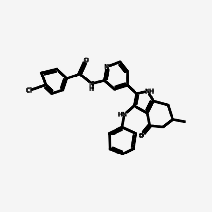 CC1CC(=O)c2c([nH]c(-c3ccnc(NC(=O)c4ccc(Cl)cc4)c3)c2Nc2ccccc2)C1